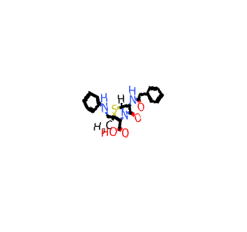 CC1(CNc2ccccc2)S[C@@H]2C(NC(=O)Cc3ccccc3)C(=O)N2C1C(=O)O